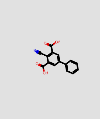 N#Cc1c(C(=O)O)cc(-c2ccccc2)cc1C(=O)O